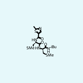 CC[C@@H](C)NC(=O)[C@@H](CSC)NC(=O)[C@@H](CSC)NC(=O)c1cnc(C)s1